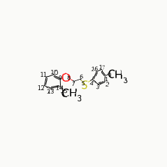 Cc1ccc(SCCOc2ccccc2C)cc1